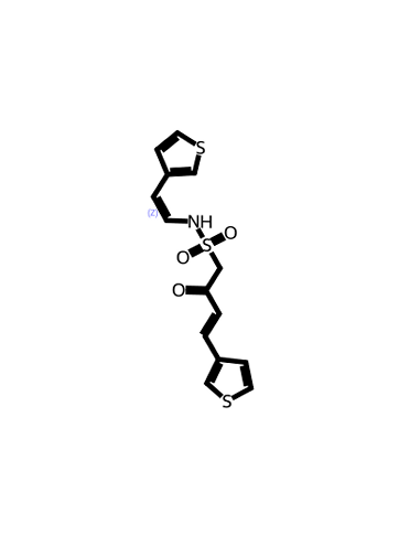 O=C(C=Cc1ccsc1)CS(=O)(=O)N/C=C\c1ccsc1